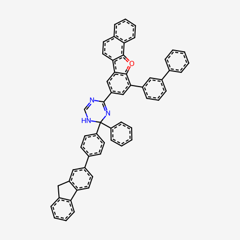 C1=NC(c2cc(-c3cccc(-c4ccccc4)c3)c3oc4c5ccccc5ccc4c3c2)=NC(c2ccccc2)(c2ccc(-c3ccc4c(c3)Cc3ccccc3-4)cc2)N1